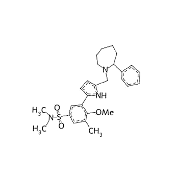 COc1c(C)cc(S(=O)(=O)N(C)C)cc1-c1ccc(CN2CCCCCC2c2ccccc2)[nH]1